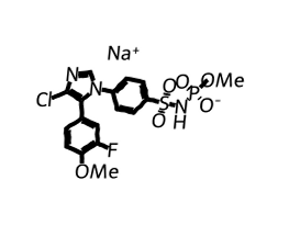 COc1ccc(-c2c(Cl)ncn2-c2ccc(S(=O)(=O)NP(=O)([O-])OC)cc2)cc1F.[Na+]